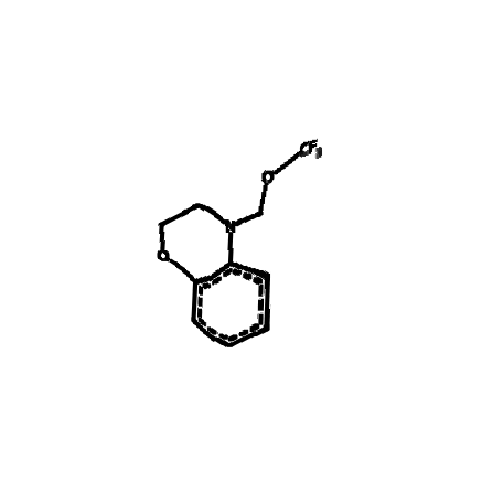 FC(F)(F)OCN1CCOc2ccccc21